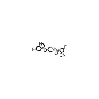 N#C[C@@H]1C[C@H](F)CN1C(=O)CN1CCC(Oc2ccnc3cc(F)ccc23)CC1